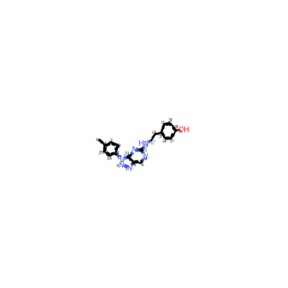 Cc1ccc(-n2nnc3cnc(NCCc4ccc(O)cc4)nc32)cc1